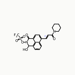 O=C(/C=C/c1ccc2c3c(cccc13)C(O)N(OS(=O)(=O)C(F)(F)F)C2=O)N1CCCCC1